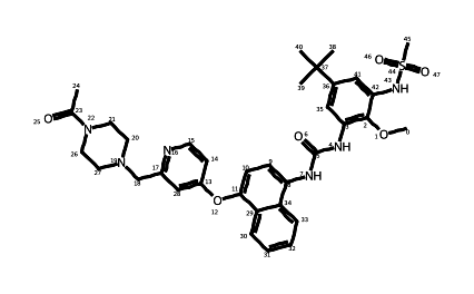 COc1c(NC(=O)Nc2ccc(Oc3ccnc(CN4CCN(C(C)=O)CC4)c3)c3ccccc23)cc(C(C)(C)C)cc1NS(C)(=O)=O